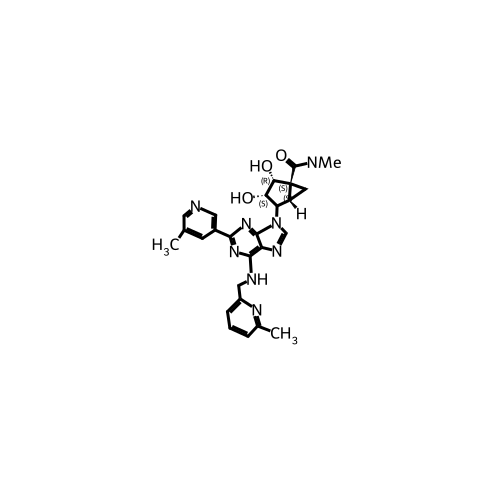 CNC(=O)[C@@]12C[C@@H]1C(n1cnc3c(NCc4cccc(C)n4)nc(-c4cncc(C)c4)nc31)[C@H](O)[C@@H]2O